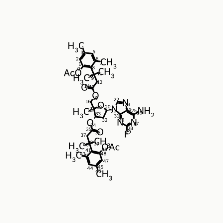 CC(=O)Oc1cc(C)cc(C)c1C(C)(C)CC(=O)OC[C@@]1(C)O[C@@H](n2cnc3c(N)nc(F)nc32)C[C@@H]1OC(=O)CC(C)(C)c1c(C)cc(C)cc1OC(C)=O